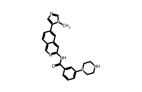 Cn1cncc1-c1ccc2cnc(NC(=O)c3cccc(N4CCNCC4)c3)cc2c1